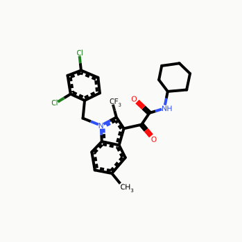 Cc1ccc2c(c1)c(C(=O)C(=O)NC1CCCCC1)c(C(F)(F)F)n2Cc1ccc(Cl)cc1Cl